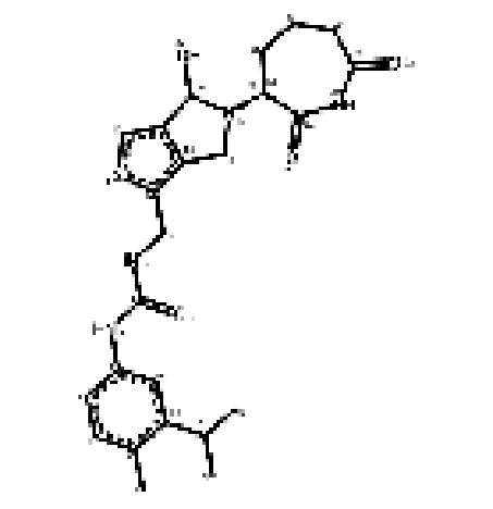 Cc1ccc(NC(=O)NCc2scc3c2CN([C@H]2CCCC(=O)NC2=O)C3O)cc1C(C)C